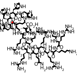 N=C(N)NCCC[C@H](NC(=O)CN)C(=O)N[C@@H](CCCCN)C(=O)N[C@@H](CCCNC(=N)N)C(=O)N[C@@H](CCCNC(=N)N)C(=O)N[C@@H](CCC(N)=O)C(=O)N[C@@H](CCCNC(=N)N)C(=O)N[C@@H](CCCNC(=N)N)C(=O)N[C@@H](CCCNC(=N)N)C(=O)N[C@@H](Cc1c[nH]cn1)C(=O)N[C@@H](Cc1c[nH]cn1)C(=O)N[C@@H](Cc1c[nH]cn1)C(=O)N[C@@H](Cc1c[nH]cn1)C(=O)N[C@@H](Cc1c[nH]cn1)C(=O)N[C@@H](CCCCN)C(=O)O